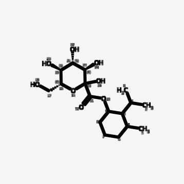 CC(C)C1C(C)CCCC1OC(=O)C1(O)O[C@H](CO)[C@@H](O)[C@H](O)[C@H]1O